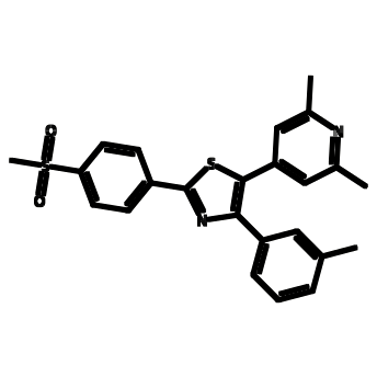 Cc1cccc(-c2nc(-c3ccc(S(C)(=O)=O)cc3)sc2-c2cc(C)nc(C)c2)c1